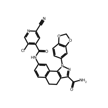 N#Cc1cc(C(=O)Nc2ccc3c(c2)-c2c(c(C(N)=O)nn2-c2ccc4c(c2)OCO4)CC3)c(Cl)cn1